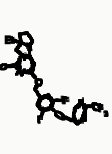 CCC12CCCN1c1cc(OCc3cc(F)c(Oc4cnc(C(F)(F)F)nc4)c(F)c3)nc(=O)n1C2